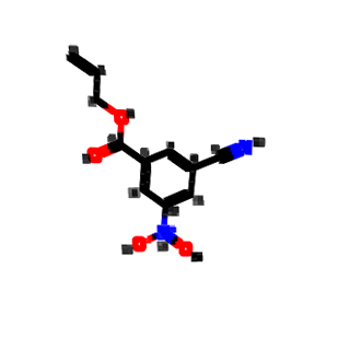 C=CCOC(=O)c1cc(C#N)cc([N+](=O)[O-])c1